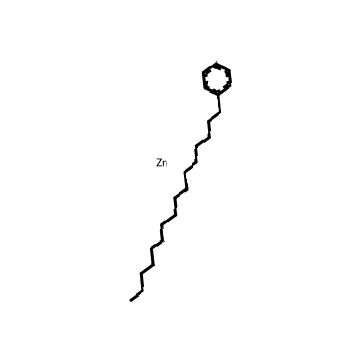 CCCCCCCCCCCCCCCCc1cc[c]cc1.[Zn]